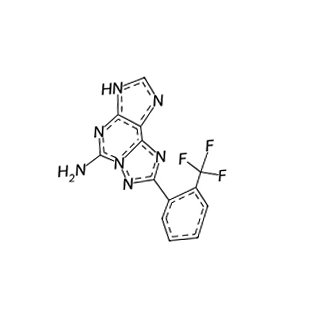 Nc1nc2[nH]cnc2c2nc(-c3ccccc3C(F)(F)F)nn12